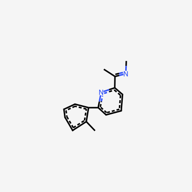 C/N=C(\C)c1cccc(-c2ccccc2C)n1